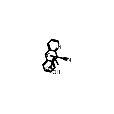 CC1(C(=O)O)CC2c3ccccc3C1(C#N)c1ncccc12